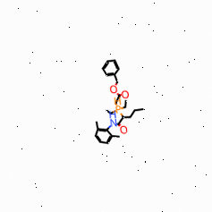 CCCC(C(=O)Nc1c(C)cccc1C)[PH](CC)(CC)CC(=O)OCc1ccccc1